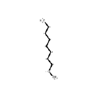 [CH2]OCCCCCCCC